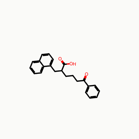 O=C(CCCC(Cc1cccc2ccccc12)C(=O)O)c1ccccc1